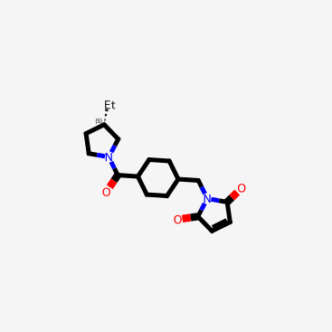 CC[C@H]1CCN(C(=O)C2CCC(CN3C(=O)C=CC3=O)CC2)C1